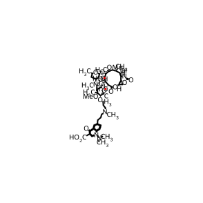 CO[C@]1(C)C[C@@H](C)C(=O)[C@H]2NC(=O)O[C@@]23C[C@H]3OC(=O)[C@H](C)[C@@H](O[C@H]2C[C@@](C)(OC)[C@@H](OCCCN(C)CCCc3ccc4c(c3)c(=O)c(C(=O)O)cn4N(C)C)[C@H](C)O2)[C@H](C)[C@H]1O[C@@H]1O[C@H](C)C[C@H](N(C)C)[C@H]1O